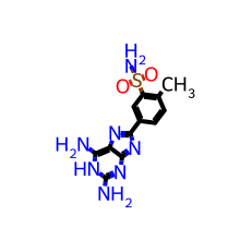 Cc1ccc(-c2nc3nc(N)[nH]c(N)c-3n2)cc1S(N)(=O)=O